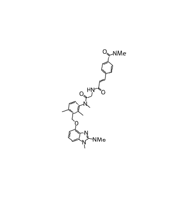 CNC(=O)c1ccc(C=CC(=O)NCC(=O)N(C)c2ccc(C)c(COc3cccc4c3nc(NC)n4C)c2C)cc1